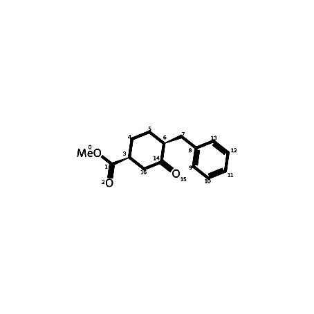 COC(=O)[C@H]1CC[C@@H](Cc2ccccc2)C(=O)C1